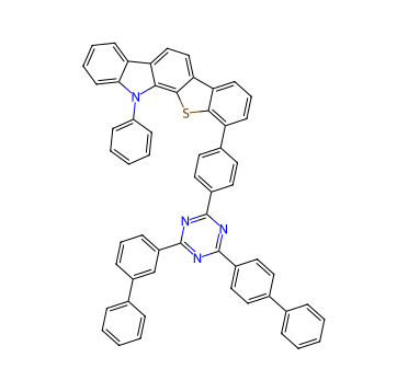 c1ccc(-c2ccc(-c3nc(-c4ccc(-c5cccc6c5sc5c6ccc6c7ccccc7n(-c7ccccc7)c65)cc4)nc(-c4cccc(-c5ccccc5)c4)n3)cc2)cc1